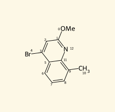 COc1cc(Br)c2cccc(C)c2n1